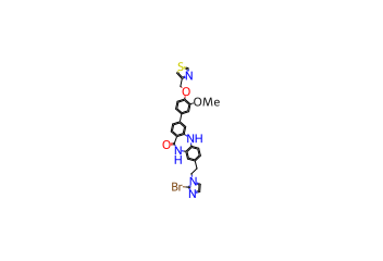 COc1cc(-c2ccc3c(c2)Nc2ccc(CCn4ccnc4Br)cc2NC3=O)ccc1OCc1cscn1